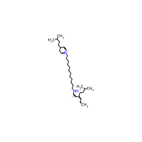 C=C/C=C(\C=C/NCCCCCCCCCCCC[N+]1=CCC(CCC(C)C)C=C1)CCC(C)C